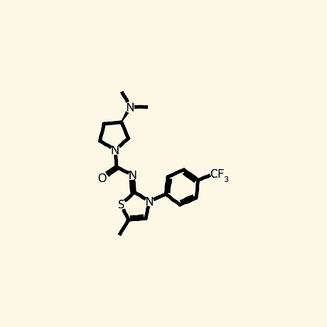 Cc1cn(-c2ccc(C(F)(F)F)cc2)c(=NC(=O)N2CC[C@@H](N(C)C)C2)s1